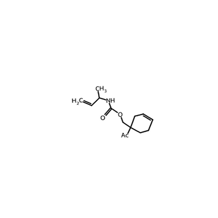 C=CC(C)NC(=O)OCC1(C(C)=O)CC=CCC1